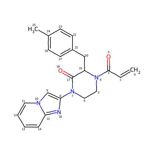 C=CC(=O)N1CCN(c2cn3ccccc3n2)C(=O)C1Cc1ccc(C)cc1